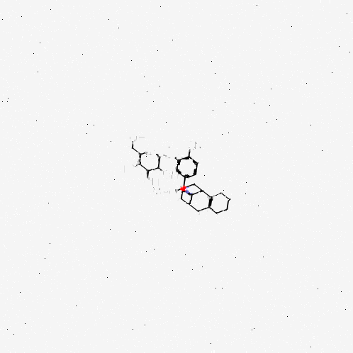 CO/C(=C1\C2CCCC1C1=C(CCCC1)C2)c1ccc(C#N)c(O[C@@H]2OC(CO)[C@H](O)C(O)C2O)c1